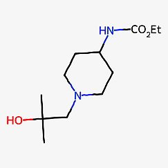 CCOC(=O)NC1CCN(CC(C)(C)O)CC1